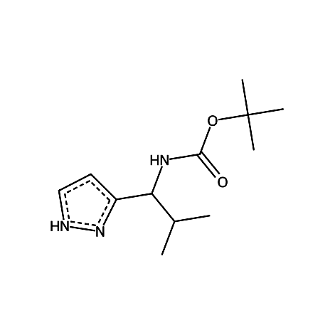 CC(C)C(NC(=O)OC(C)(C)C)c1cc[nH]n1